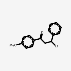 CCC(CC(=O)c1ccc(OC)cc1)c1ccccc1